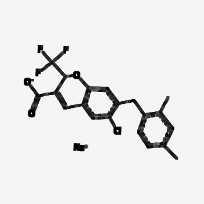 Cc1ccc(Cc2cc3c(cc2Cl)C=C(C(=O)[O-])C(C(F)(F)F)O3)c(C)c1.[Na+]